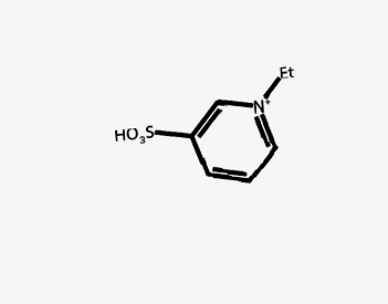 CC[n+]1cccc(S(=O)(=O)O)c1